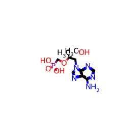 CO.C[C@H](Cn1cnc2c(N)ncnc21)OCP(=O)(O)O